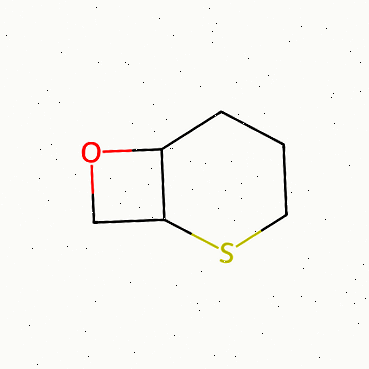 C1CSC2COC2C1